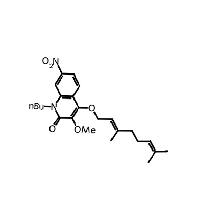 CCCCn1c(=O)c(OC)c(OC/C=C(\C)CCC=C(C)C)c2ccc([N+](=O)[O-])cc21